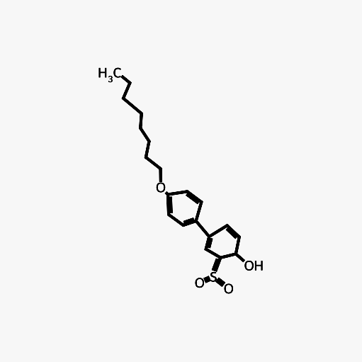 CCCCCCCCOc1ccc(C2=CC(=S(=O)=O)C(O)C=C2)cc1